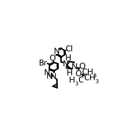 CC(C)(C)OC(=O)N1C[C@H]2C[C@@H]1CN2Cc1cc(Cl)cnc1Oc1ccc2c(nnn2CC2CC2)c1Br